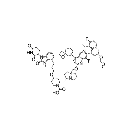 CCc1c(F)ccc2cc(OCOC)cc(-c3ncc4c(N5CCCC6(CCO6)C5)nc(OC[C@@]56CCCN5[C@H](CC5CC(OCCCc7cccc8c7n(C)c(=O)n8C7CCC(=O)NC7=O)CCN5C(=O)O)CC6)nc4c3F)c12